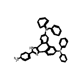 Bc1ccc(-c2nc3c4ccc(N(c5ccccc5)c5ccccc5)cc4c4cc(N(c5ccccc5)c5ccccc5)ccc4c3[nH]2)cc1